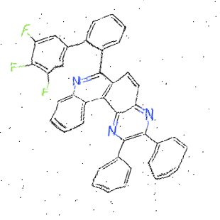 Fc1cc(-c2ccccc2-c2nc3ccccc3c3c2ccc2nc(-c4ccccc4)c(-c4ccccc4)nc23)cc(F)c1F